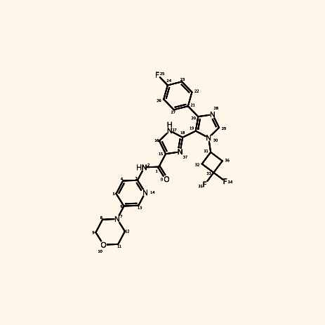 O=C(Nc1ccc(N2CCOCC2)cn1)c1c[nH]c(-c2c(-c3ccc(F)cc3)ncn2C2CC(F)(F)C2)n1